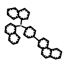 c1ccc2c(N(c3ccc(-c4ccc5c(ccc6ccccc65)c4)cc3)c3cccc4ccccc34)cccc2c1